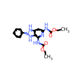 CCOC(=O)Nc1cc2c(c(NC(=O)OCC)n1)NN(c1ccccc1)N2